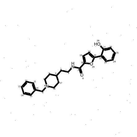 O=C(NCCC1CCN(Cc2ccccc2)CC1)c1ccc(-c2ccccc2O)o1